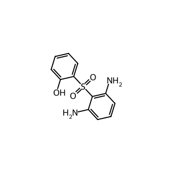 Nc1cccc(N)c1S(=O)(=O)c1ccccc1O